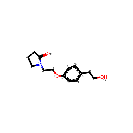 O=C1CCCN1CCOc1ccc(CCO)cc1